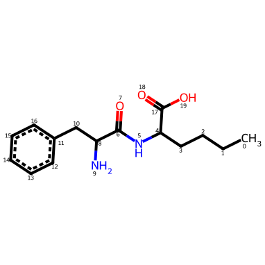 CCCCC(NC(=O)C(N)Cc1ccccc1)C(=O)O